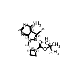 CC(C)(C)OC(=O)N1CC[C@@H]1Cn1nc(I)c2c(N)ncnc21